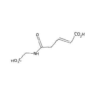 O=C(O)C=CCC(=O)NCC(=O)O